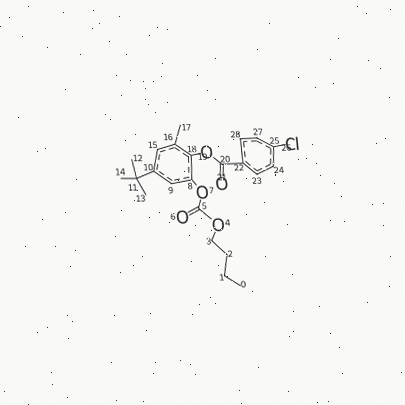 CCCCOC(=O)Oc1cc(C(C)(C)C)cc(C)c1OC(=O)c1ccc(Cl)cc1